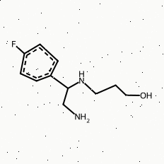 NCC(NCCCO)c1ccc(F)cc1